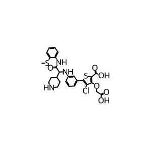 CSc1ccccc1NC(=O)C(Nc1cccc(-c2sc(C(=O)O)c(OCC(=O)O)c2Cl)c1)C1CCNCC1